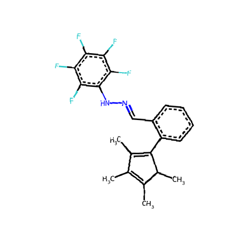 CC1=C(C)C(C)C(c2ccccc2/C=N/Nc2c(F)c(F)c(F)c(F)c2F)=C1C